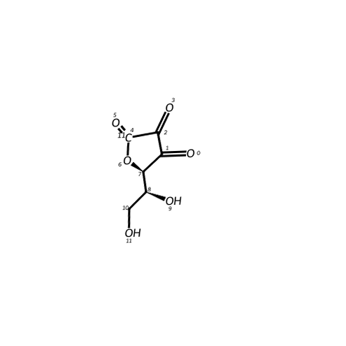 O=C1C(=O)[11C](=O)O[C@@H]1[C@@H](O)CO